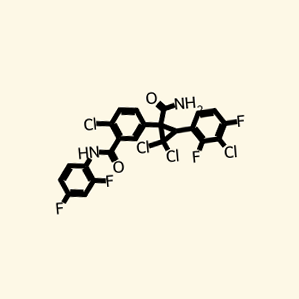 NC(=O)C1(c2ccc(Cl)c(C(=O)Nc3ccc(F)cc3F)c2)C(c2ccc(F)c(Cl)c2F)C1(Cl)Cl